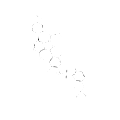 CC(C)n1nc(-c2cc(F)c(NS(=O)(=O)c3cc(OC(F)(F)F)ccc3F)cc2F)c2c(N)ncc([C@H]3CC[C@H](N)CC3)c21